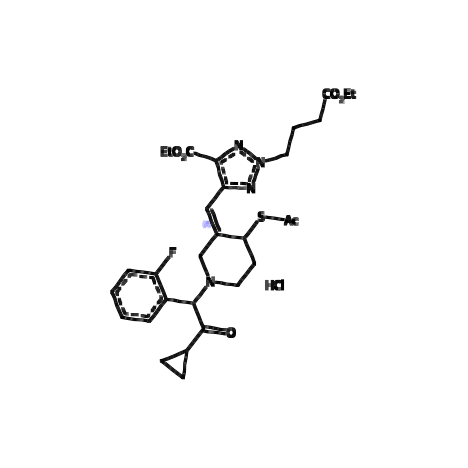 CCOC(=O)CCCn1nc(/C=C2/CN(C(C(=O)C3CC3)c3ccccc3F)CCC2SC(C)=O)c(C(=O)OCC)n1.Cl